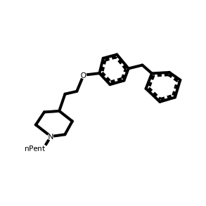 CCCCCN1CCC(CCOc2ccc(Cc3ccccc3)cc2)CC1